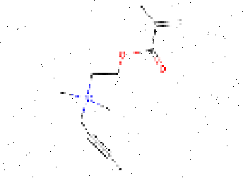 C=C(C)C(=O)OCC[N+](C)(C)CC#CC